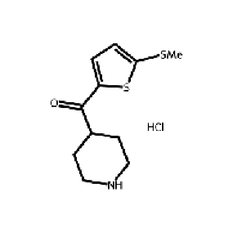 CSc1ccc(C(=O)C2CCNCC2)s1.Cl